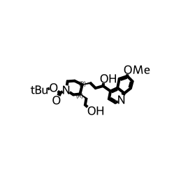 COc1ccc2nccc(C(O)CC[C@@H]3CCN(C(=O)OC(C)(C)C)C[C@@H]3CCO)c2c1